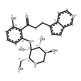 O=C(CCc1ccc2coccc1-2)c1c(O)cccc1O[C@@]1(O)[C@H](O)[C@@H](O)CO[C@@H]1CO